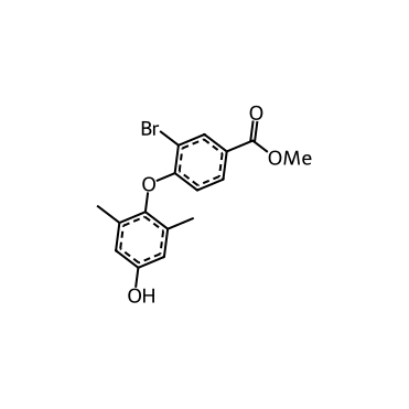 COC(=O)c1ccc(Oc2c(C)cc(O)cc2C)c(Br)c1